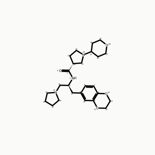 O=C(N[C@@H](Cc1ccc2c(c1)OCCO2)CN1CCCC1)[C@@H]1CCN(C2CCOCC2)C1